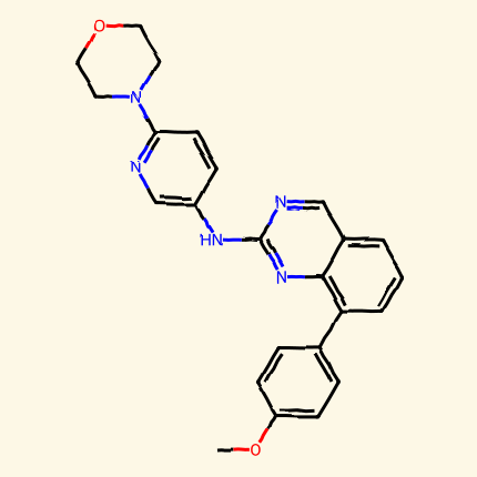 COc1ccc(-c2cccc3cnc(Nc4ccc(N5CCOCC5)nc4)nc23)cc1